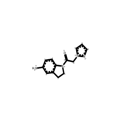 Nc1ccc2c(c1)CCN2C(=O)Cn1cccn1